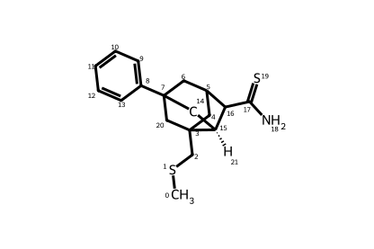 CSCC12CC3CC(c4ccccc4)(C[C@H]1C3C(N)=S)C2